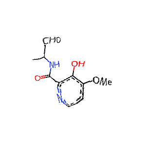 COc1ccnc(C(=O)NC(C)C=O)c1O